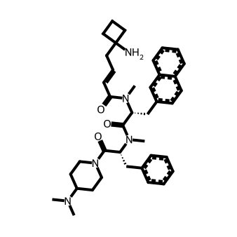 CN(C)C1CCN(C(=O)[C@@H](Cc2ccccc2)N(C)C(=O)[C@@H](Cc2ccc3ccccc3c2)N(C)C(=O)/C=C/CC2(N)CCC2)CC1